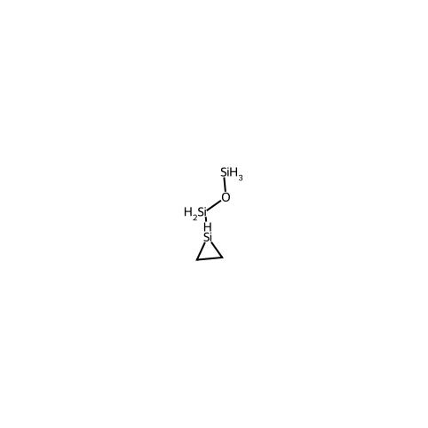 [SiH3]O[SiH2][SiH]1CC1